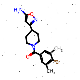 Cc1cc(C(=O)N2CCC(c3cc(N)on3)CC2)cc(C)c1Br